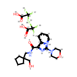 O=C(NCC1(CO)CCCC1)c1nc(N2CCOCC2)n2ccccc12.O=C(O)C(F)(F)F.O=C(O)C(F)(F)F